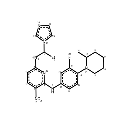 CCC(Nc1ccc([N+](=O)[O-])c(Nc2ccc(N3CCCCC3C)c(F)c2)n1)n1ccnc1